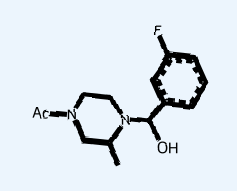 CC(=O)N1CCN(C(O)c2cccc(F)c2)C(C)C1